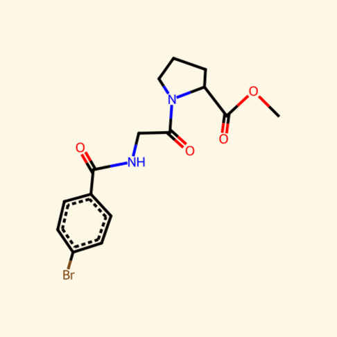 COC(=O)C1CCCN1C(=O)CNC(=O)c1ccc(Br)cc1